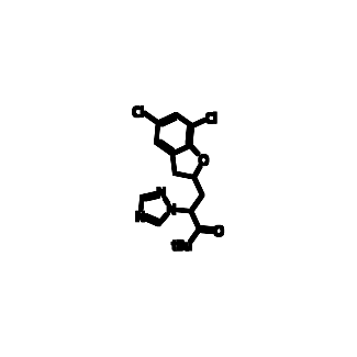 CC(C)(C)C(=O)C(CC1Cc2cc(Cl)cc(Cl)c2O1)n1cncn1